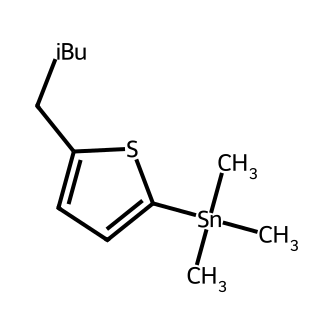 CCC(C)Cc1cc[c]([Sn]([CH3])([CH3])[CH3])s1